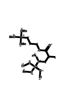 CCCN(CC(C)C(=O)OCCC[Si](OC)(OC)OC)[Si](OCC)(OCC)OCC